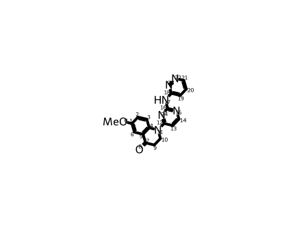 COc1ccc2c(c1)C(=O)CCN2c1ccnc(Nc2cccnn2)n1